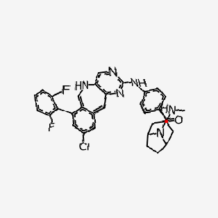 CNC1CC2CCC(C1)N2C(=O)c1ccc(Nc2ncc3c(n2)C=c2cc(Cl)cc(-c4c(F)cccc4F)c2=CN3)cc1